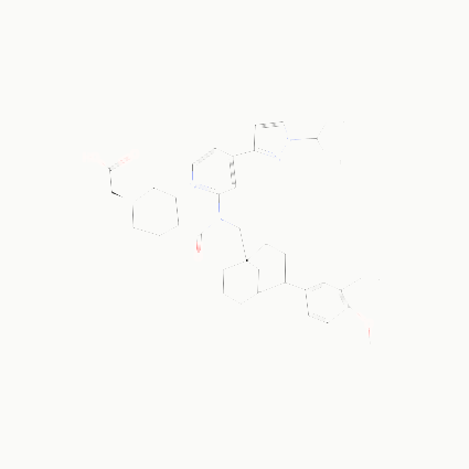 COc1ccc(C2CCC3(CN(c4cc(-c5ccn(C(C)C)n5)ccn4)C(=O)[C@H]4CC[C@H](CC(=O)O)CC4)CCCC2C3)cc1C